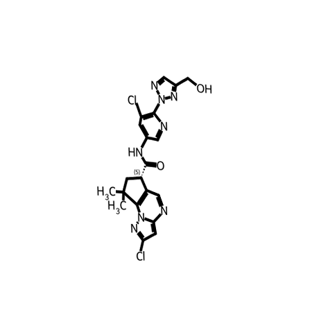 CC1(C)C[C@H](C(=O)Nc2cnc(-n3ncc(CO)n3)c(Cl)c2)c2cnc3cc(Cl)nn3c21